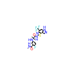 CNC(=O)c1cc(NC(C)(C)C(=O)Nc2nc3c(C(F)(F)F)cc4[nH]ncc4c3s2)ccc1F